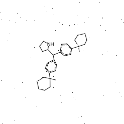 CC1(c2ccc(C(c3ccc(C4(C)CCCCC4)cc3)C3CCCN3)cc2)CCCCC1